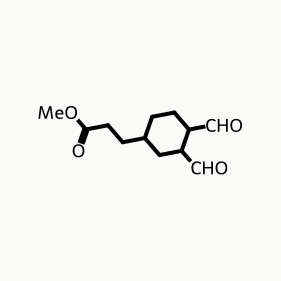 COC(=O)CCC1CCC(C=O)C(C=O)C1